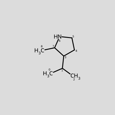 CC(C)C1CCNC1C